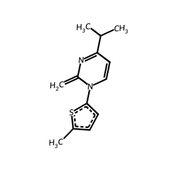 C=C1N=C(C(C)C)C=CN1c1ccc(C)s1